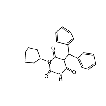 O=C1NC(=O)N(C2CCCCC2)C(=O)C1C(c1ccccc1)c1ccccc1